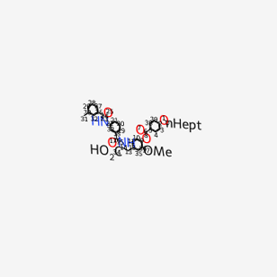 CCCCCCCOc1ccc(C(=O)Oc2ccc(CC(NC(=O)c3cccc(NC(=O)c4cccc(C)c4)c3)C(=O)O)cc2OC)cc1